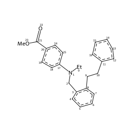 CCN(Cc1ccccc1CCc1ccccc1)c1ccc(C(=O)OC)cc1